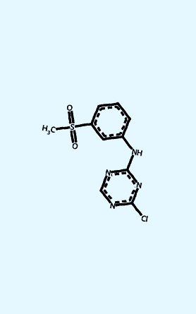 CS(=O)(=O)c1cccc(Nc2ncnc(Cl)n2)c1